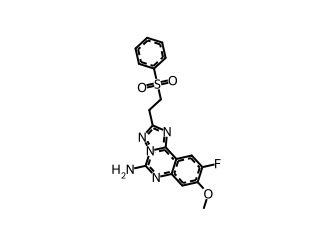 COc1cc2nc(N)n3nc(CCS(=O)(=O)c4ccccc4)nc3c2cc1F